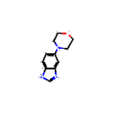 [c]1nc2cc(N3CCOCC3)ccc2[nH]1